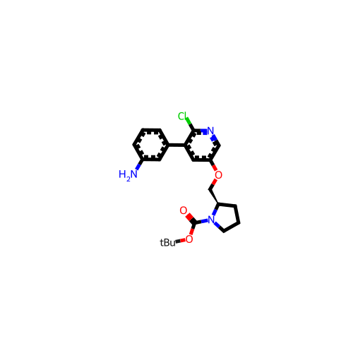 CC(C)(C)OC(=O)N1CCC[C@@H]1COc1cnc(Cl)c(-c2cccc(N)c2)c1